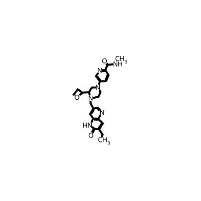 CCc1cc2ncc(CN3CCN(c4ccc(C(=O)NC)nc4)CC3C3CCO3)cc2[nH]c1=O